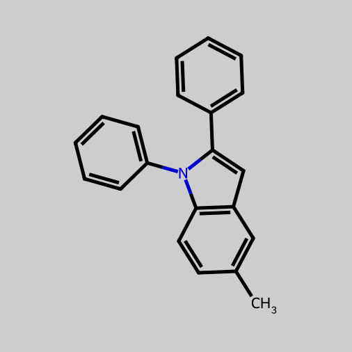 Cc1ccc2c(c1)cc(-c1ccccc1)n2-c1ccccc1